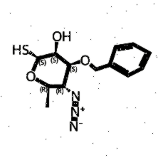 C[C@H]1O[C@@H](S)[C@@H](O)[C@@H](OCc2ccccc2)[C@@H]1N=[N+]=[N-]